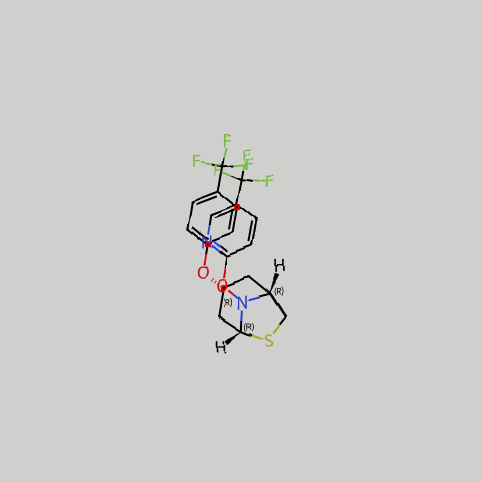 FC(F)(F)c1ccc(O[C@@H]2C[C@@H]3CS[C@H](C2)N3Oc2ccc(C(F)(F)F)cn2)cc1